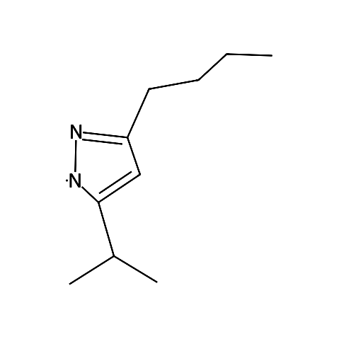 CCCCC1=N[N]C(C(C)C)=C1